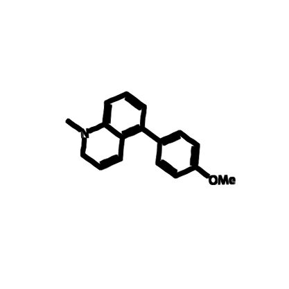 COc1ccc(-c2cccc3c2C=CCN3C)cc1